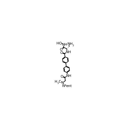 CCCCCN(C)CC(=O)Nc1ccc(-c2ccc(C(=O)N[C@@H](CN)C(=O)NO)cc2)cc1